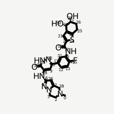 CN1CCn2nc(Nc3cc(-c4ccc(F)c(NC(=O)c5cc6c(s5)CC[C@@H](O)[C@H]6O)c4)n[nH]c3=O)cc2C1